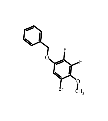 COc1c(Br)cc(OCc2ccccc2)c(F)c1F